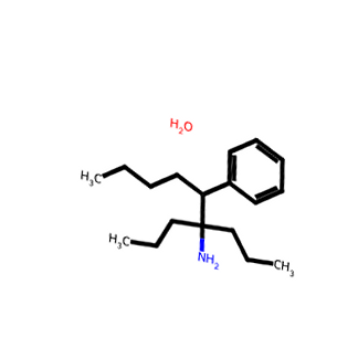 CCCCC(c1ccccc1)C(N)(CCC)CCC.O